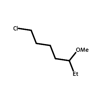 CCC(CCCCCl)OC